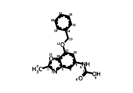 Cc1nc2cc(NC(=O)O)cc(OCc3ccccc3)c2o1